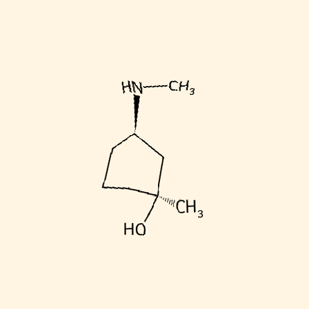 CN[C@@H]1CC[C@](C)(O)C1